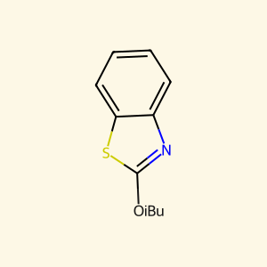 CC(C)COc1nc2ccccc2s1